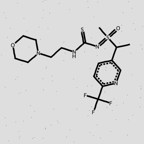 CC(c1ccc(C(F)(F)F)nc1)S(C)(=O)=NC(=S)NCCN1CCOCC1